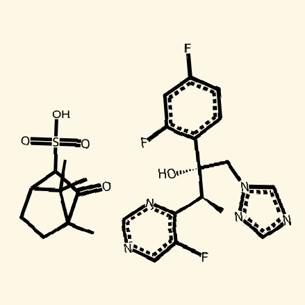 CC12CCC(C(S(=O)(=O)O)C1=O)C2(C)C.C[C@@H](c1ncncc1F)[C@](O)(Cn1cncn1)c1ccc(F)cc1F